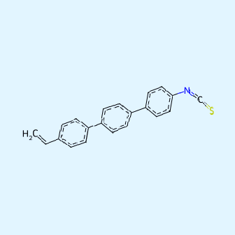 C=Cc1ccc(-c2ccc(-c3ccc(N=C=S)cc3)cc2)cc1